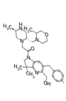 CC1COCCN1C[C@H]1CN[C@H](C)CN1CC(=O)N1CC(C)(C)c2nc(CO)c(Cc3ccc(F)cc3)cc21